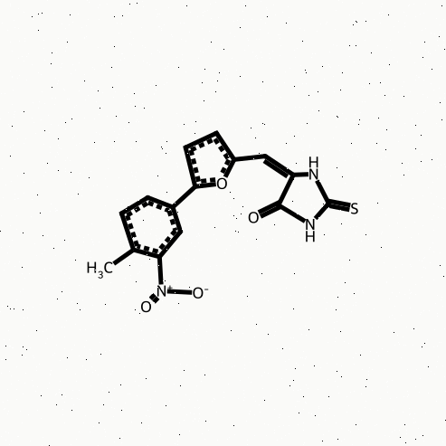 Cc1ccc(-c2ccc(C=C3NC(=S)NC3=O)o2)cc1[N+](=O)[O-]